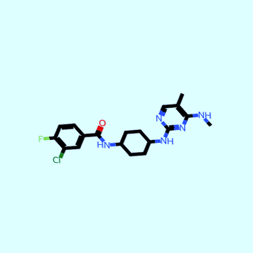 CNc1nc(NC2CCC(NC(=O)c3ccc(F)c(Cl)c3)CC2)ncc1C